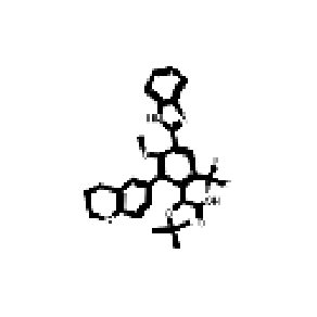 COc1c(-c2nc3ccccc3[nH]2)cc(C(F)(F)F)c(C(OC(C)(C)C)C(=O)O)c1-c1ccc2c(c1)CCCO2